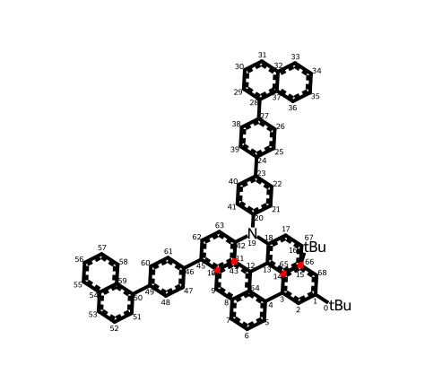 CC(C)(C)c1cc(-c2cccc3cccc(-c4ccccc4N(c4ccc(-c5ccc(-c6cccc7ccccc67)cc5)cc4)c4ccc(-c5ccc(-c6cccc7ccccc67)cc5)cc4)c23)cc(C(C)(C)C)c1